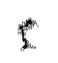 COc1cc(Cl)c(C)cc1NCC(=O)N1CCN(C/C=C/C(=O)NCCNc2c(NC[C@H]3O[C@@H](n4cnc5c(=O)[nH]c(N)nc54)[C@H](O)[C@@H]3O)c(=O)c2=O)CC1